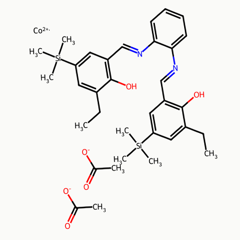 CC(=O)[O-].CC(=O)[O-].CCc1cc([Si](C)(C)C)cc(C=Nc2ccccc2N=Cc2cc([Si](C)(C)C)cc(CC)c2O)c1O.[Co+2]